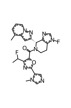 Cc1cccn2nc([C@@H]3c4ncn(F)c4CCN3C(=O)c3oc(-c4cncn4C)nc3C(C)F)cc12